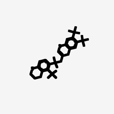 CC(C)(C)c1cc2c(cc1C(C)(C)C)SC=C(CC(C)(C)c1ccc3c(c1C(C)(C)C)CCCS3)C2